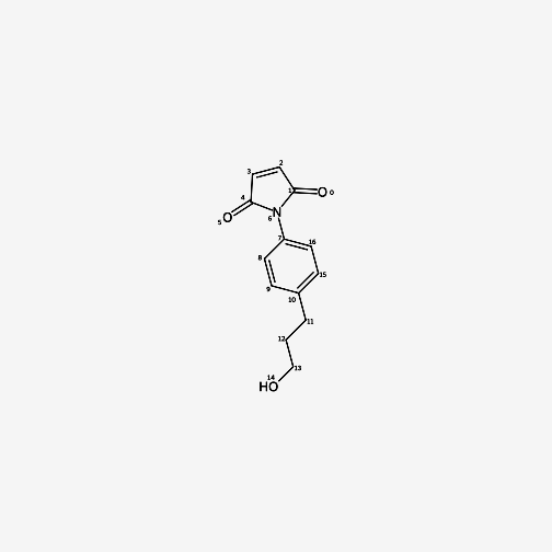 O=C1C=CC(=O)N1c1ccc(CCCO)cc1